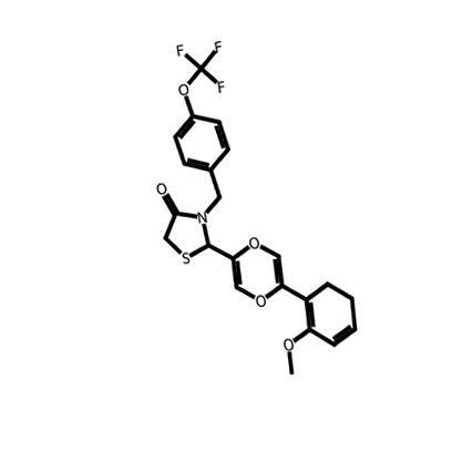 COC1=C(C2=COC(C3SCC(=O)N3Cc3ccc(OC(F)(F)F)cc3)=CO2)CCC=C1